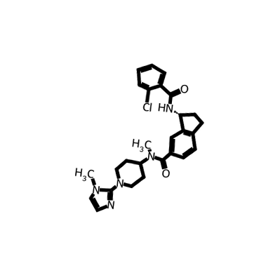 CN(C(=O)c1ccc2c(c1)[C@H](NC(=O)c1ccccc1Cl)CC2)C1CCN(c2nccn2C)CC1